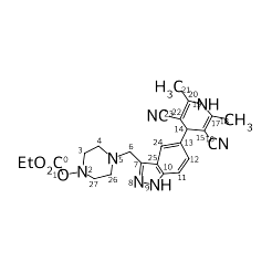 CCOC(=O)ON1CCN(Cc2n[nH]c3ccc(C4C(C#N)=C(C)NC(C)=C4C#N)cc23)CC1